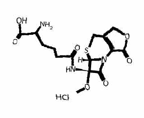 CO[C@@]1(NC(=O)CCCC(N)C(=O)O)C(=O)N2C3=C(COC3=O)CS[C@H]21.Cl